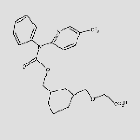 O=C(O)COCC1CCCC(COC(=O)N(c2ccccc2)c2ccc(C(F)(F)F)cn2)C1